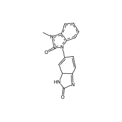 Cn1c(=O)n(C2=CC3NC(=O)N=C3C=C2)c2cc[c]cc21